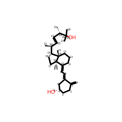 C=C1CC[C@H](O)CC1=CC=C1CCC[C@]2(C)[C@@H]1CC[C@@H]2[C@@H](C)C=C[C@H](C)C(C)(C)O